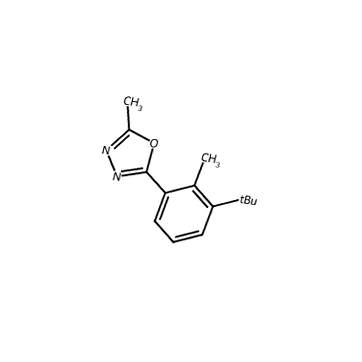 Cc1nnc(-c2cccc(C(C)(C)C)c2C)o1